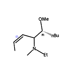 C/C=C\C([C@@H](CCCC)OC)N(C)CC